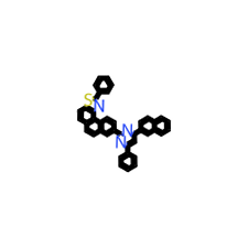 c1ccc(-c2cc(-c3ccc4ccccc4c3)nc(-c3ccc4c(ccc5ccc6sc(-c7ccccc7)nc6c54)c3)n2)cc1